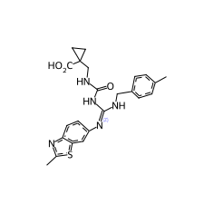 Cc1ccc(CN/C(=N/c2ccc3nc(C)sc3c2)NC(=O)NCC2(C(=O)O)CC2)cc1